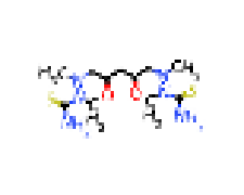 CN(CC(=O)CC(=O)CN(C)N(C)C(N)=S)N(C)C(N)=S